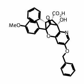 COc1ccc(C23Oc4cc(OCc5ccccc5)cnc4[C@@](O)(C2=O)[C@@H](C(=O)O)[C@H]3c2ccccc2)cc1